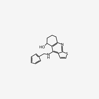 OC1CCCc2nc3sccc3c(NCc3ccccc3)c21